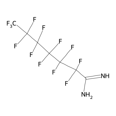 N=C(N)C(F)(F)C(F)(F)C(F)(F)C(F)(F)C(F)(F)C(F)(F)F